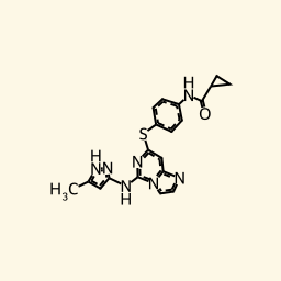 Cc1cc(Nc2nc(Sc3ccc(NC(=O)C4CC4)cc3)cc3nccn23)n[nH]1